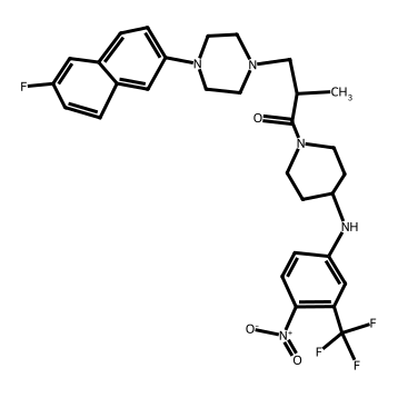 CC(CN1CCN(c2ccc3cc(F)ccc3c2)CC1)C(=O)N1CCC(Nc2ccc([N+](=O)[O-])c(C(F)(F)F)c2)CC1